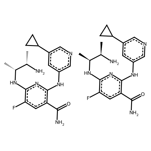 C[C@H](N)[C@@H](C)Nc1nc(Nc2cncc(C3CC3)c2)c(C(N)=O)cc1F.C[C@H](Nc1nc(Nc2cncc(C3CC3)c2)c(C(N)=O)cc1F)[C@@H](C)N